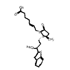 C=C1CC(=O)[C@H](CC=CCCCC(=O)O)[C@H]1CCC(O)c1cc2ccccc2s1